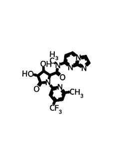 Cc1cc(C(F)(F)F)cc(N2C(=O)C(O)C(O)C2C(=O)N(C)c2ccn3ccnc3n2)n1